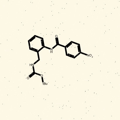 CC(C)(C)OC(=O)NCc1ccccc1NC(=O)c1ccc([N+](=O)[O-])cc1